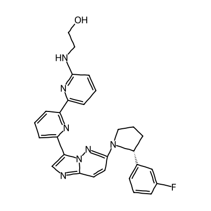 OCCNc1cccc(-c2cccc(-c3cnc4ccc(N5CCC[C@@H]5c5cccc(F)c5)nn34)n2)n1